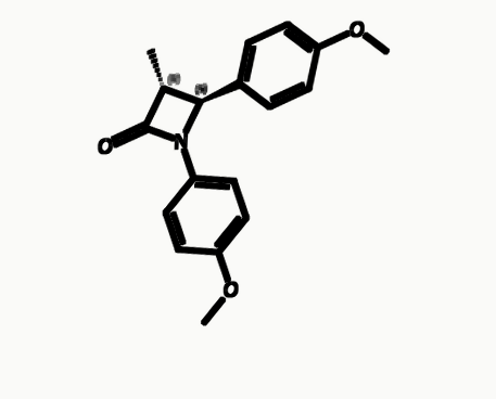 COc1ccc([C@@H]2[C@@H](C)C(=O)N2c2ccc(OC)cc2)cc1